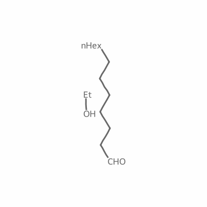 CCCCCCCCCCCCC=O.CCO